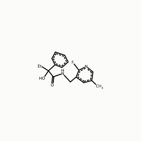 CCC(O)(C(=O)NCc1cc(C)cnc1F)c1ccccc1